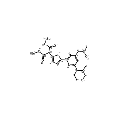 C[C@H]1COCCN1c1cc(C[S+](C)[O-])nc(-c2cnc(N(C(=O)OC(C)(C)C)C(=O)OC(C)(C)C)s2)n1